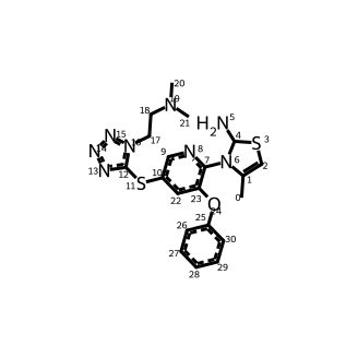 CC1=CSC(N)N1c1ncc(Sc2nnnn2CCN(C)C)cc1Oc1ccccc1